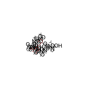 CCCC(NC(=O)C(C)N(C)C(=O)[C@H](CCCCNC(=O)OC(C)(C)C)NC(=O)[C@H](CC(C)C)N(C)C(=O)C1CCCN1C(=O)CO)C(=O)N(C)C(CC(C)C)C(=O)N(C)C(CC(C)C)C(=O)N[C@@H](CC(=O)N(C)[C@@H](CC(C)C)C(=O)N(C)C(Cc1cccc(Cl)c1)C(=O)N[C@H](C(=O)OC)[C@@H](C)CC)C(=O)N1CCCCC1